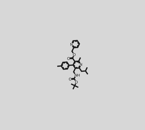 Cc1ccc(-c2c(CNC(=O)OC(C)(C)C)c(CC(C)C)nc(C)c2C(=O)OCc2ccccn2)cc1